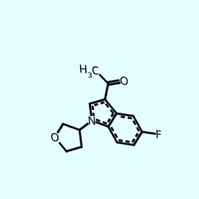 CC(=O)c1cn(C2CCOC2)c2ccc(F)cc12